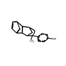 CC1(c2ccc(O)cc2)CC2CC1C1C3C=CC(C3)C21